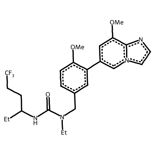 CCC(CCC(F)(F)F)NC(=O)N(CC)Cc1ccc(OC)c(-c2cc(OC)c3nccn3c2)c1